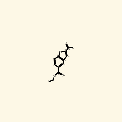 CCOC(=O)c1ccc2oc(C(C)=O)cc2c1